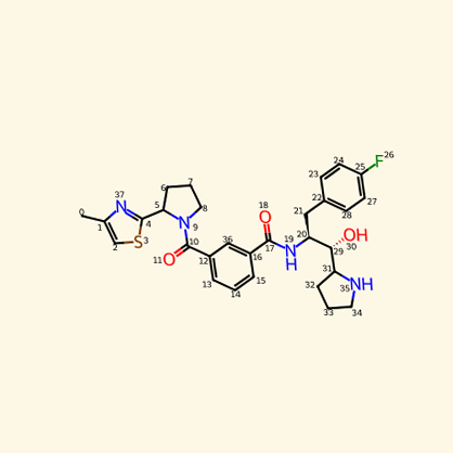 Cc1csc(C2CCCN2C(=O)c2cccc(C(=O)N[C@@H](Cc3ccc(F)cc3)[C@H](O)C3CCCN3)c2)n1